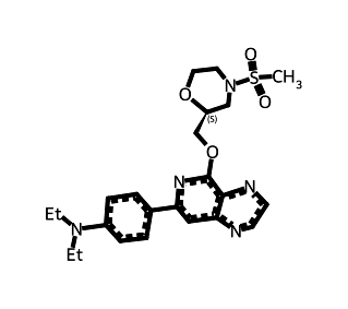 CCN(CC)c1ccc(-c2cc3nccnc3c(OC[C@@H]3CN(S(C)(=O)=O)CCO3)n2)cc1